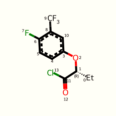 CC[C@@H](Oc1ccc(F)c(C(F)(F)F)c1)C(=O)Cl